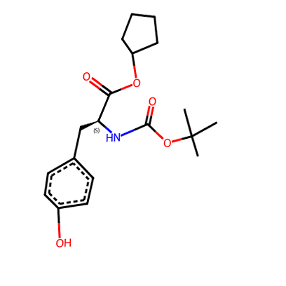 CC(C)(C)OC(=O)N[C@@H](Cc1ccc(O)cc1)C(=O)OC1CCCC1